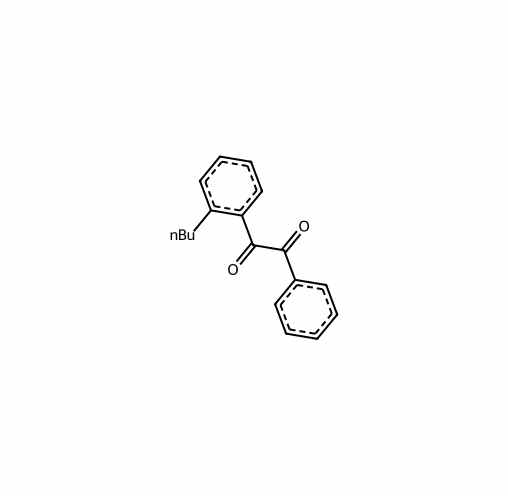 CCCCc1ccccc1C(=O)C(=O)c1ccccc1